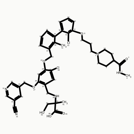 CNC(=O)C1CCN(CCCOc2cccc(-c3cccc(COc4cc(OCc5cncc(C#N)c5)c(CNC(C)(CO)C(=O)O)cc4Cl)c3C)c2Cl)CC1